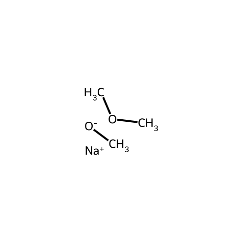 COC.C[O-].[Na+]